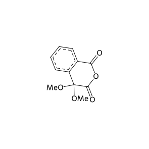 COC1(OC)C(=O)OC(=O)c2ccccc21